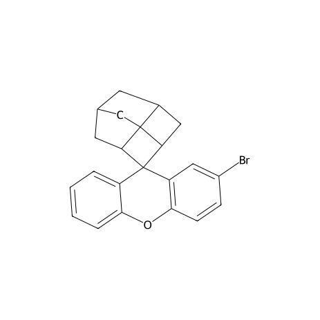 Brc1ccc2c(c1)C1(c3ccccc3O2)C2CC3CC4CC1C42C3